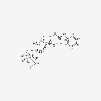 C[C@@H](NC(=O)CC12CC3CC(CC(C3)C1)C2)C(=O)N1CCN(Cc2ccccc2)CC1